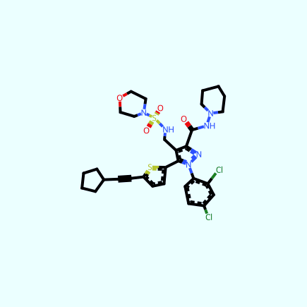 O=C(NN1CCCCC1)c1nn(-c2ccc(Cl)cc2Cl)c(-c2ccc(C#CC3CCCC3)s2)c1CNS(=O)(=O)N1CCOCC1